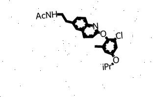 CC(=O)NCCc1ccc2nc(Oc3c(C)cc(OC(C)C)cc3Cl)ccc2c1